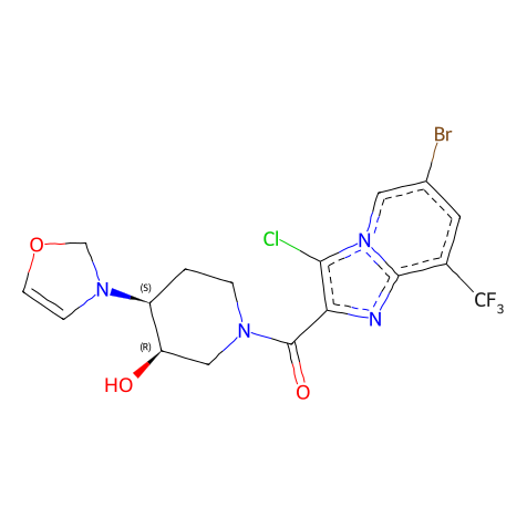 O=C(c1nc2c(C(F)(F)F)cc(Br)cn2c1Cl)N1CC[C@H](N2C=COC2)[C@H](O)C1